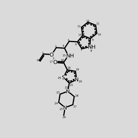 C=COCC(Cc1c[nH]c2ccccc12)NC(=O)c1cnc(N2CCN(C)CC2)s1